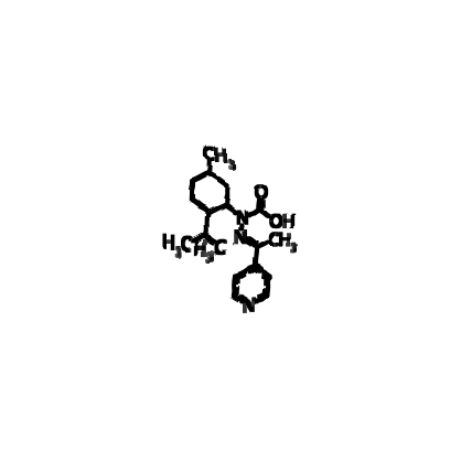 CC(=NN(C(=O)O)C1CC(C)CCC1C(C)C)c1ccncc1